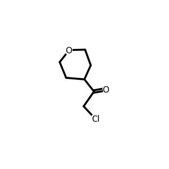 O=C(CCl)C1CCOCC1